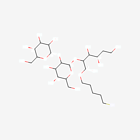 OCC[C@@H](O)C(O)C(O[C@H]1OC(CO)[C@@H](O)C(O)C1O[C@@H]1OC(CO)[C@@H](O)C(O)C1O)[C@H](O)OCCCCCS